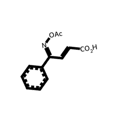 CC(=O)ON=C(C=CC(=O)O)c1ccccc1